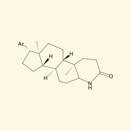 CC(=O)[C@H]1CC[C@H]2[C@@H]3CCC4NC(=O)CC[C@]4(C)[C@H]3CC[C@]12C